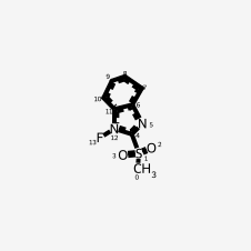 CS(=O)(=O)c1nc2ccccc2n1F